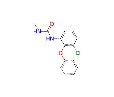 CNC(=O)Nc1cccc(Cl)c1Oc1ccccc1